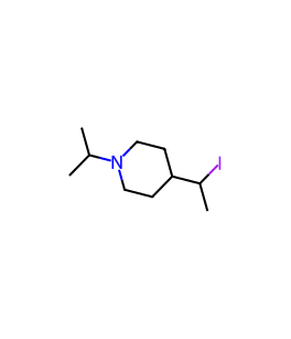 CC(I)C1CCN(C(C)C)CC1